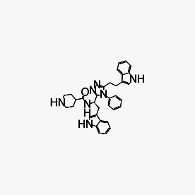 O=C(N[C@H](Cc1c[nH]c2ccccc12)c1nnc(CCc2c[nH]c3ccccc23)n1-c1ccccc1)C1CCNCC1